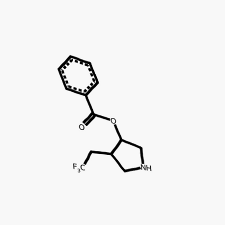 O=C(OC1CNCC1CC(F)(F)F)c1ccccc1